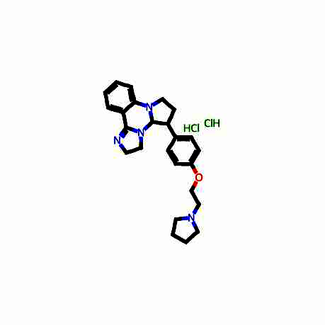 Cl.Cl.c1ccc2c(c1)C1=NCCN1C1C(c3ccc(OCCN4CCCC4)cc3)CCN21